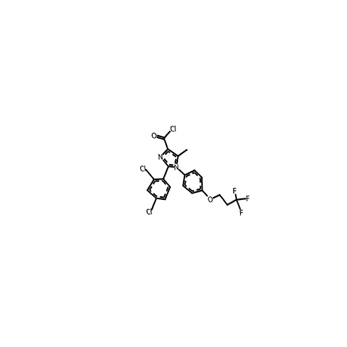 Cc1c(C(=O)Cl)nc(-c2ccc(Cl)cc2Cl)n1-c1ccc(OCCC(F)(F)F)cc1